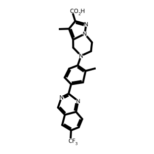 Cc1cc(-c2ncc3cc(C(F)(F)F)ccc3n2)ccc1N1CCn2nc(C(=O)O)c(C)c2C1